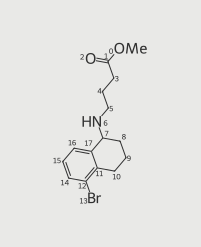 COC(=O)CCCNC1CCCc2c(Br)cccc21